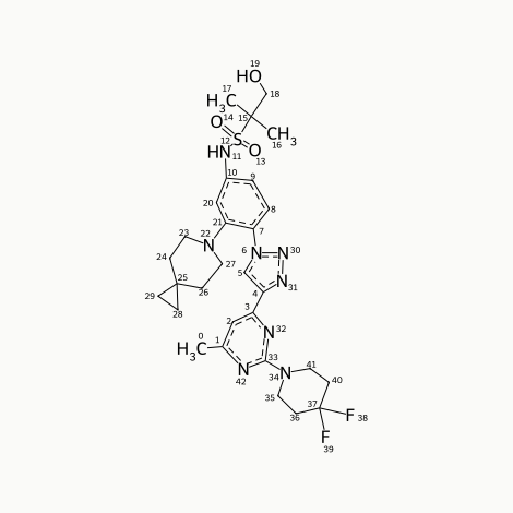 Cc1cc(-c2cn(-c3ccc(NS(=O)(=O)C(C)(C)CO)cc3N3CCC4(CC3)CC4)nn2)nc(N2CCC(F)(F)CC2)n1